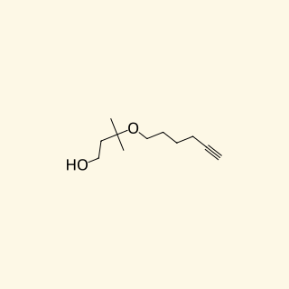 C#CCCCCOC(C)(C)CCO